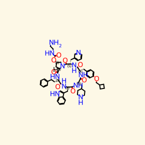 NCCNC(=O)O[C@@H]1C[C@H]2C(=O)N[C@@H](CCc3ccccc3)C(=O)N[C@H](Cc3c[nH]c4ccccc34)C(=O)N[C@@H](CC3CCNCC3)C(=O)N[C@@H](Cc3ccc(OCC4CCC4)cc3)C(=O)N[C@@H](Cc3cccnc3)C(=O)N2C1